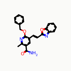 Cc1nc(OCc2ccccc2)c(C=Cc2nc3ccccc3o2)cc1C(N)=O